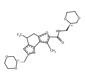 Cc1c(C(=O)NC[C@@H]2COCCO2)oc2c1-c1nn(C[C@H]3COCCO3)cc1C(C(F)(F)F)C2